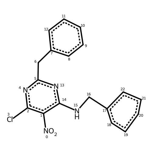 O=[N+]([O-])c1c(Cl)nc(Cc2ccccc2)nc1NCc1ccccc1